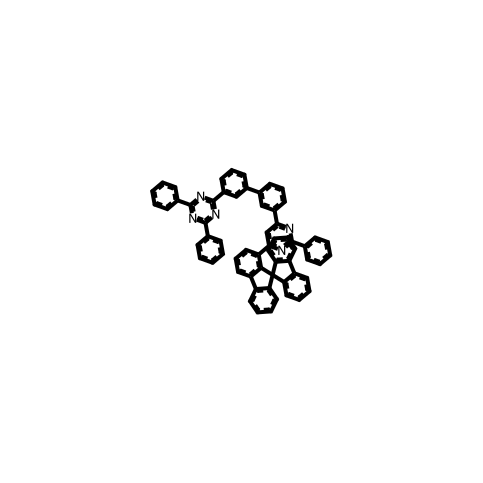 c1ccc(-c2nc(-c3cccc(-c4cccc(-c5nc(-c6ccccc6)nc(-c6ccccc6)n5)c4)c3)cc(-c3cccc4c3C3(c5ccccc5-c5ccccc53)c3ccccc3-4)n2)cc1